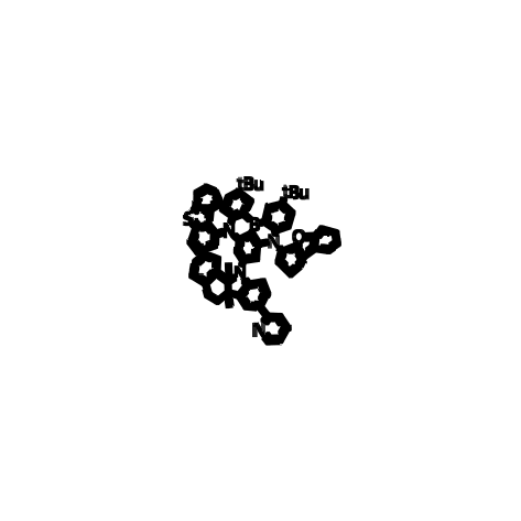 CC(C)(C)c1ccc2c(c1)B1c3cc(C(C)(C)C)ccc3N(c3cccc4sc5ccccc5c34)c3cc(N4c5ccc(-c6ccccn6)cc5C5(C)CCc6ccccc6C45C)cc(c31)N2c1cccc2c1oc1ccccc12